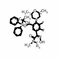 C[C@@H]1CN(c2c(CO[Si](c3ccccc3)(c3ccccc3)C(C)(C)C)cc(/C(=N/O)C(=O)N(C)C)c(F)c2F)C[C@H](C)O1